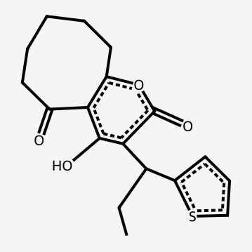 CCC(c1cccs1)c1c(O)c2c(oc1=O)CCCCCC2=O